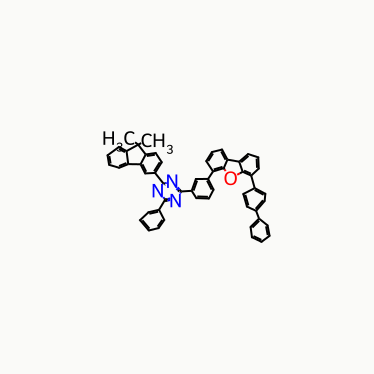 CC1(C)c2ccccc2-c2cc(-c3nc(-c4ccccc4)nc(-c4cccc(-c5cccc6c5oc5c(-c7ccc(-c8ccccc8)cc7)cccc56)c4)n3)ccc21